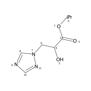 CC(C)OC(=O)C(O)Cn1cncn1